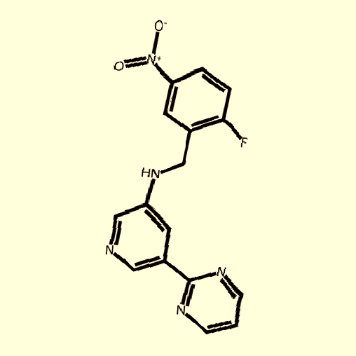 O=[N+]([O-])c1ccc(F)c(CNc2cncc(-c3ncccn3)c2)c1